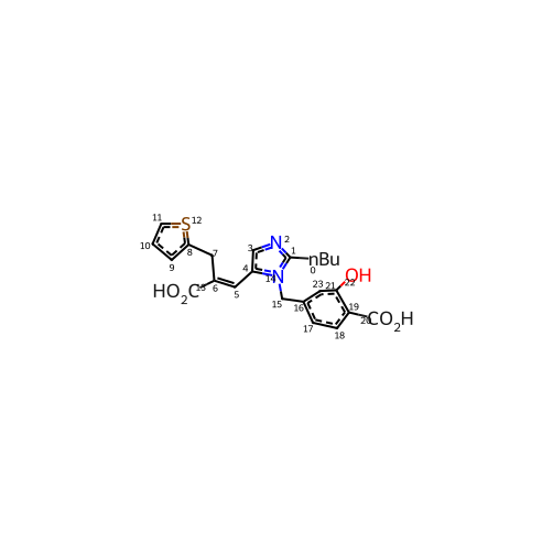 CCCCc1ncc(C=C(Cc2cccs2)C(=O)O)n1Cc1ccc(C(=O)O)c(O)c1